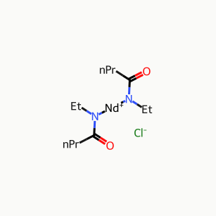 CCCC(=O)[N](CC)[Nd+][N](CC)C(=O)CCC.[Cl-]